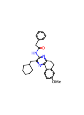 COc1ccc2c(c1)CCc1nc(NC(=O)Cc3ccccc3)c(CC3CCCCC3)nc1-2